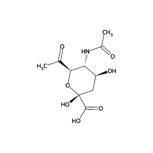 CC(=O)N[C@@H]1[C@@H](O)C[C@](O)(C(=O)O)O[C@H]1C(C)=O